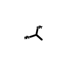 [CH2]CCC(C)CCC